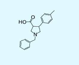 Cc1ccc(C2CN(Cc3ccccc3)CC2C(=O)O)cc1